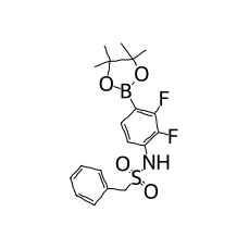 CC1(C)OB(c2ccc(NS(=O)(=O)Cc3ccccc3)c(F)c2F)OC1(C)C